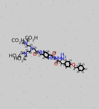 N[C@H](Cc1ccc(OCc2ccccc2)cc1)C(=O)NNC(=O)c1ccc(CNC(=O)CN(CCN(CC(=O)O)CC(=O)O)CCN(CC(=O)O)CC(=O)O)cc1